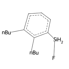 CCCCc1cccc([SiH2]F)c1CCCC